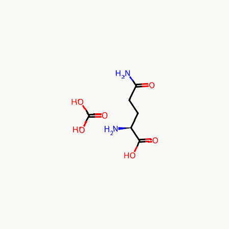 NC(=O)CC[C@H](N)C(=O)O.O=C(O)O